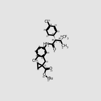 C[C@H]([C@H](C(=O)Nc1ccc(Cl)c(CC2(C(=O)OC(C)(C)C)CC2)c1)C1C=CC(Cl)=CC1)C(F)(F)F